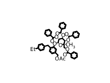 CCc1ccc(Cc2ccc(COC(C)=O)cc2O[C@@H]2O[C@](C)(COC(=O)c3ccccc3)[C@@H](OC(=O)c3ccccc3)[C@H](OC(=O)c3ccccc3)[C@H]2OC(=O)c2ccccc2)cc1